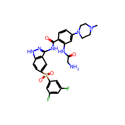 CN1CCN(c2ccc(C(=O)Nc3n[nH]c4ccc(S(=O)(=O)c5cc(F)cc(F)c5)cc34)c(NC(=O)CN)c2)CC1